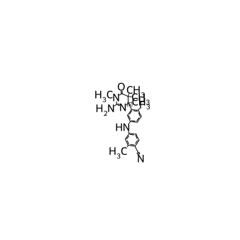 Cc1cc(Nc2ccc(F)c([C@@]3(C)N=C(N)N(C)C(=O)C3(C)C)c2)ccc1C#N